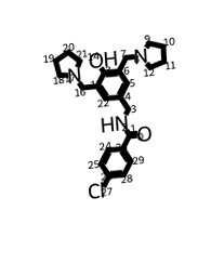 O=C(NCc1cc(CN2CCCC2)c(O)c(CN2CCCC2)c1)c1ccc(Cl)cc1